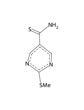 CSc1ncc(C(N)=S)cn1